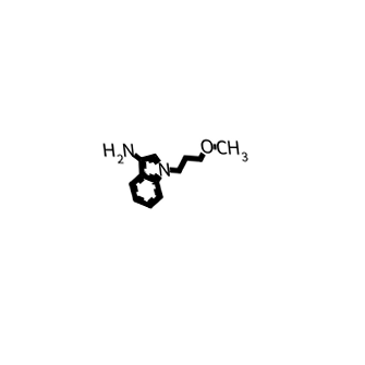 COCCCn1cc(N)c2ccccc21